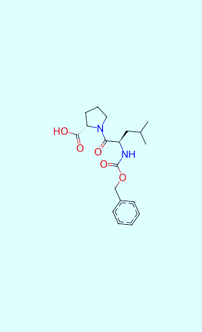 CC(C)C[C@@H](NC(=O)OCc1ccccc1)C(=O)N1CCC[C@H]1C(=O)O